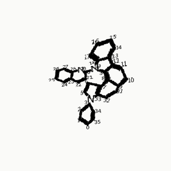 c1ccc(-n2ccc3c4c(ccc5c6ccccc6n(-c6ccc7ccccc7n6)c54)ccc32)cc1